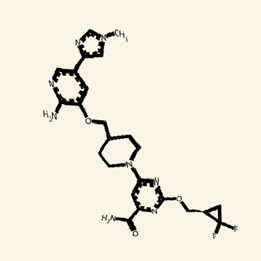 Cn1cnc(-c2cnc(N)c(OCC3CCN(c4cc(C(N)=O)nc(OC[C@H]5CC5(F)F)n4)CC3)c2)c1